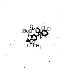 CN1C(=O)C2(CC2)c2c(F)cc(NC3(c4c(F)ccc(Cl)c4Cl)CCN(C(=O)OC(C)(C)C)C3)cc21